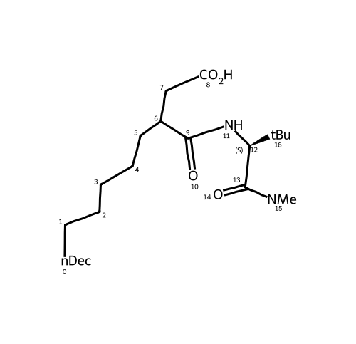 CCCCCCCCCCCCCCCC(CC(=O)O)C(=O)N[C@H](C(=O)NC)C(C)(C)C